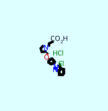 Cl.O=C(O)CCCN1CCC[C@@H]1COc1ccc(-n2nc3ccccc3c2Cl)cc1